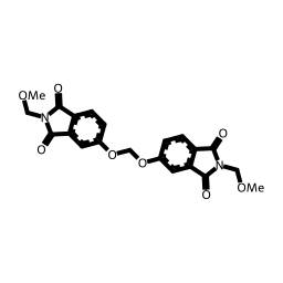 COCN1C(=O)c2ccc(OCOc3ccc4c(c3)C(=O)N(COC)C4=O)cc2C1=O